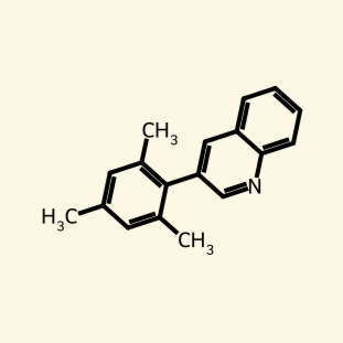 Cc1cc(C)c(-c2cnc3ccccc3c2)c(C)c1